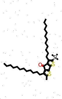 CCCCCCCCCCCCc1c(C)sc2c1C(=O)c1c-2sc([Si](C)(C)C)c1CCCCCCCCCCCC